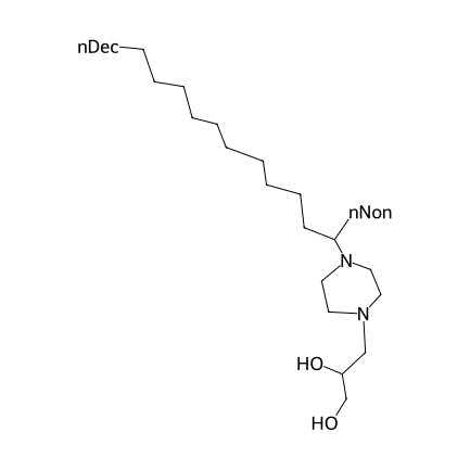 CCCCCCCCCCCCCCCCCCCCC(CCCCCCCCC)N1CCN(CC(O)CO)CC1